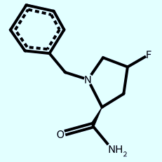 NC(=O)[C@@H]1CC(F)CN1Cc1ccccc1